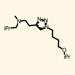 CC(C)CN(C)CCc1cn(CCCCOC(C)C)nn1